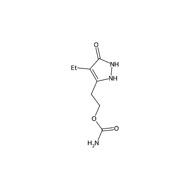 CCc1c(CCOC(N)=O)[nH][nH]c1=O